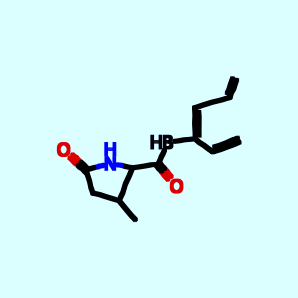 C=C/C=C(/BC(=O)C1NC(=O)CC1C)C=C